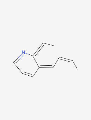 C\C=C/C=c1/cccn/c1=C/C